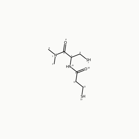 CN(C)C(=O)C(CS)NC(=O)CCS